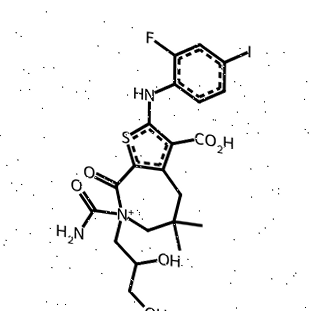 CC1(C)Cc2c(sc(Nc3ccc(I)cc3F)c2C(=O)O)C(=O)[N+](CC(O)CO)(C(N)=O)C1